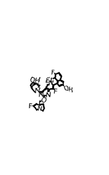 CCc1c(F)ccc2cc(O)cc(-c3ncc4c(N5CC6CC(O)C(C6)C5)nc(OC[C@@]56CCCN5C[C@H](F)C6)nc4c3F)c12